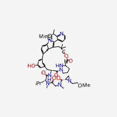 CCn1c(-c2cccnc2[C@H](C)OC)c2c3cc(ccc31)-c1cc(O)cc(c1)C[C@H](NC(=O)[C@H](C(C)C)N(C)C(=O)CN(C)C(=O)[C@@H]1CN1CCOC)C(=O)N1CCC[C@H](N1)C(=O)OCC(C)(C)C2